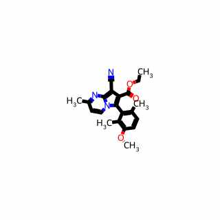 CCOC(=O)c1c(C#N)c2nc(C)ccn2c1-c1c(C)ccc(OC)c1C